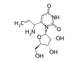 C=CC(N)c1cc(=O)[nH]c(=O)n1[C@@H]1O[C@H](CO)[C@@H](O)[C@H]1O